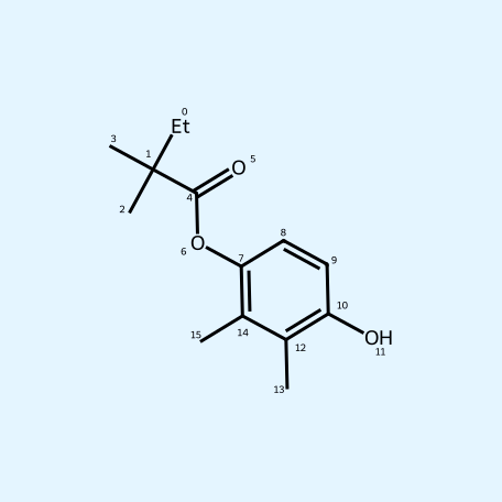 CCC(C)(C)C(=O)Oc1ccc(O)c(C)c1C